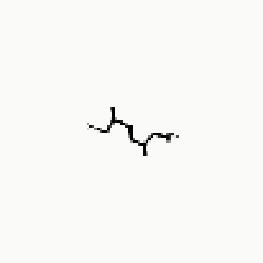 C[C](/C=C/[C](C)CC(C)C)CC(C)C